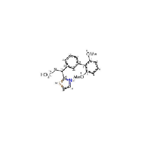 COc1cccc(OC)c1-c1cccc(C(CC(=O)O)c2nccs2)c1